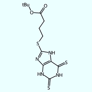 CC(C)(C)OC(=O)CCCSc1nc2[nH]c(=S)[nH]c(=S)c2[nH]1